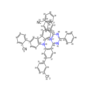 N#Cc1ccccc1-c1ccc2c(c1)c1cc(-c3ccccc3C#N)ccc1n2-c1cc(-c2cccc(C(F)(F)F)c2)ccc1-c1nc(-c2ccccc2)nc(-c2ccccc2)n1